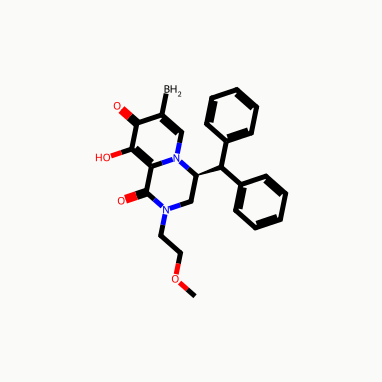 Bc1cn2c(c(O)c1=O)C(=O)N(CCOC)C[C@@H]2C(c1ccccc1)c1ccccc1